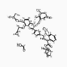 COc1ccccc1C(NCc1ccc(C(=O)O[C@@H](Cc2c(Cl)c[n+]([O-])cc2Cl)c2ccc(OC(F)F)c(OCC3CC3)c2)s1)C(=O)O[C@H]1CN2CCC1CC2.O=CO